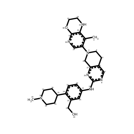 Cc1c(N2CCc3cnc(Nc4ccc(C5CCN(C)CC5)c(CO)c4)nc3C2)cnc2c1NCCO2